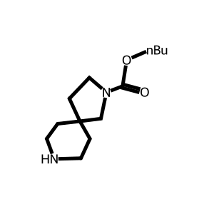 CCCCOC(=O)N1CCC2(CCNCC2)C1